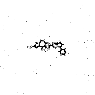 Cc1cc2n(n1)CCC(NC(=O)c1nc3n(n1)C(c1ccccc1)CC3)C(=O)N2C